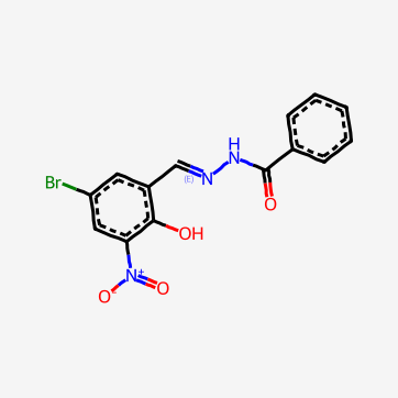 O=C(N/N=C/c1cc(Br)cc([N+](=O)[O-])c1O)c1ccccc1